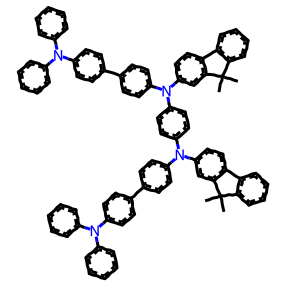 CC1(C)c2ccccc2-c2ccc(N(c3ccc(-c4ccc(N(c5ccccc5)c5ccccc5)cc4)cc3)c3ccc(N(c4ccc(-c5ccc(N(c6ccccc6)c6ccccc6)cc5)cc4)c4ccc5c(c4)C(C)(C)c4ccccc4-5)cc3)cc21